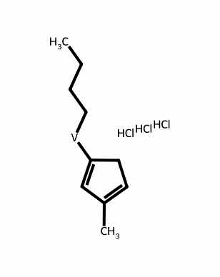 CCC[CH2][V][C]1=CC(C)=CC1.Cl.Cl.Cl